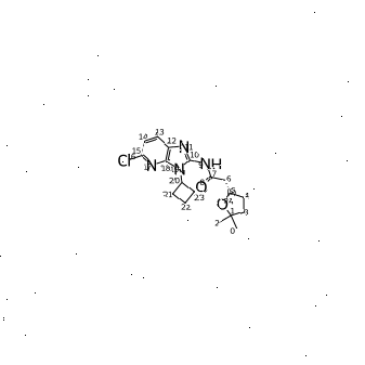 CC1(C)CC[C@@H](CC(=O)Nc2nc3ccc(Cl)nc3n2C2CCC2)O1